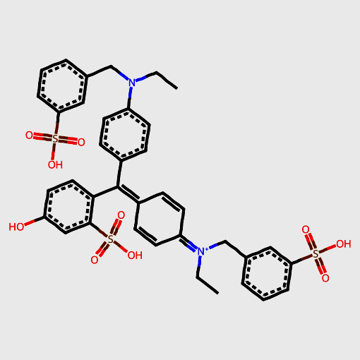 CCN(Cc1cccc(S(=O)(=O)O)c1)c1ccc(C(=C2C=CC(=[N+](CC)Cc3cccc(S(=O)(=O)O)c3)C=C2)c2ccc(O)cc2S(=O)(=O)O)cc1